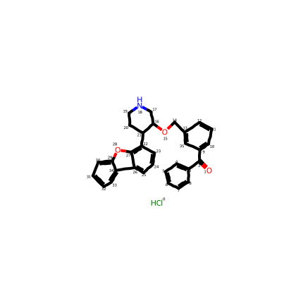 Cl.O=C(c1ccccc1)c1cccc(COC2CNCCC2c2cccc3c2oc2ccccc23)c1